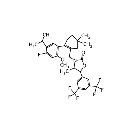 COc1cc(F)c(C(C)C)cc1C1=C(CN2C(=O)OC(c3cc(C(F)(F)F)cc(C(F)(F)F)c3)C2C)CC(C)(C)CC1